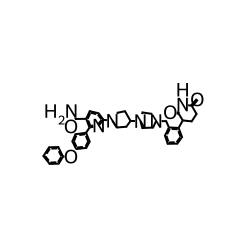 NC(=O)c1ccc(N2CCC(N3CCN(Cc4ccccc4C4CCC(=O)NC4=O)CC3)CC2)nc1-c1ccc(Oc2ccccc2)cc1